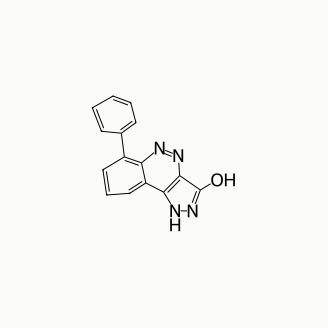 Oc1n[nH]c2c1nnc1c(-c3ccccc3)cccc12